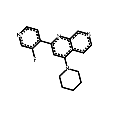 Fc1cnccc1-c1cc(N2CCCCC2)c2ccncc2n1